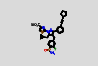 CCOC(=O)c1csc(-n2nc(-c3cccc(C#CC4CCCC4)c3)c(Cc3ccc([S+](N)[O-])c(F)c3)c2CC2CC2)n1